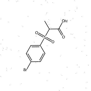 CC(C(=O)O)S(=O)(=O)c1ccc(Br)cc1